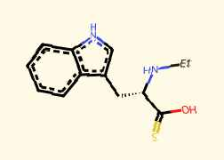 CCN[C@@H](Cc1c[nH]c2ccccc12)C(O)=S